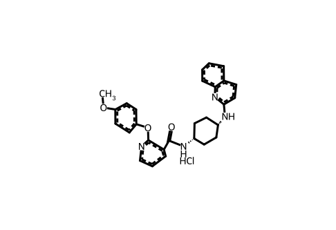 COc1ccc(Oc2ncccc2C(=O)N[C@H]2CC[C@@H](Nc3ccc4ccccc4n3)CC2)cc1.Cl